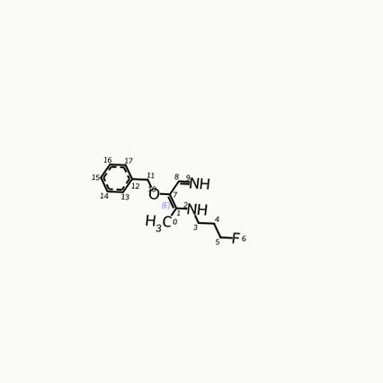 C/C(NCCCF)=C(/C=N)OCc1ccccc1